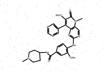 COc1cc(C(=O)NC2CCN(C)CC2)ccc1Nc1ncc2c(n1)c(-c1cncnc1)c(OC)c(=O)n2C